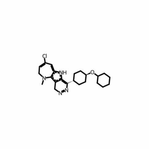 CN1CC=C(Cl)C=c2[nH]c3c(c21)CN=NC=3[C@H]1CC[C@H](OC2CCCCC2)CC1